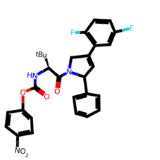 CC(C)(C)[C@H](NC(=O)Oc1ccc([N+](=O)[O-])cc1)C(=O)N1CC(c2cc(F)ccc2F)=CC1c1ccccc1